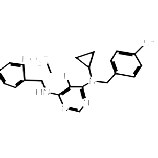 O=C(O)C[C@H](Nc1ncnc(N(Cc2ccc(C(F)(F)F)cc2)C2CC2)c1F)c1ccccc1